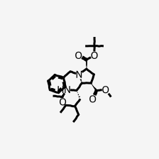 CCC(CC)C[C@H](NC(C)=O)[C@H]1[C@H](C(=O)OC)C[C@H](C(=O)OC(C)(C)C)N1Cc1ccccc1